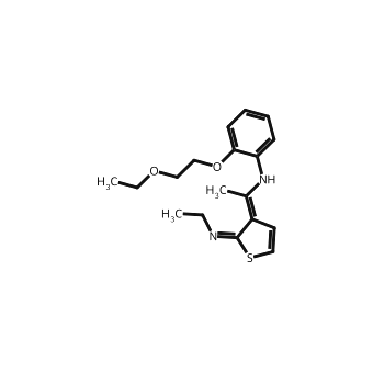 CC/N=C1/SC=C/C1=C(/C)Nc1ccccc1OCCOCC